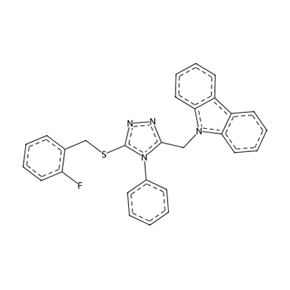 Fc1ccccc1CSc1nnc(Cn2c3ccccc3c3ccccc32)n1-c1ccccc1